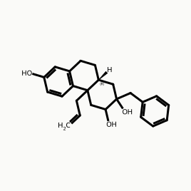 C=CCC12CC(O)C(O)(Cc3ccccc3)C[C@H]1CCc1cc(O)ccc12